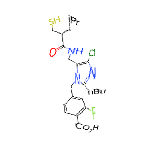 CCCCc1nc(Cl)c(CNC(=O)C(CS)CC(C)C)n1Cc1ccc(C(=O)O)c(F)c1